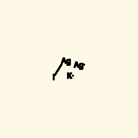 [Ag].[Ag][I].[K]